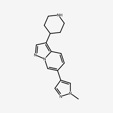 Cn1cc(-c2ccc3c(C4CCNCC4)cnn3c2)cn1